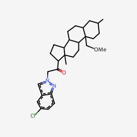 COCC12CCC(C)CC1CCC1C3CCC(C(=O)Cn4cc5cc(Cl)ccc5n4)C3(C)CCC12